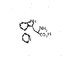 NC(Cc1c[nH]c2ccccc12)C(=O)O.c1ccncc1